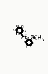 COc1ccccc1SCc1ccccn1